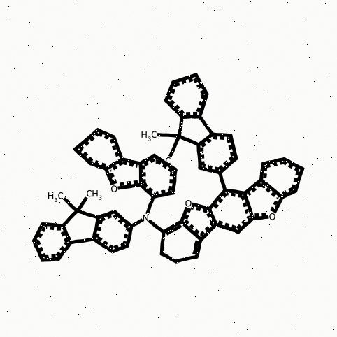 CC1(C)c2ccccc2-c2ccc(-c3c4oc5c(c4cc4oc6ccccc6c34)=CCCC=5N(c3ccc4c(c3)C(C)(C)c3ccccc3-4)c3cccc4c3oc3ccccc34)cc21